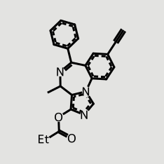 C#Cc1ccc2c(c1)C(c1ccccc1)=NC(C)c1c(OC(=O)CC)ncn1-2